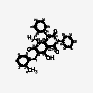 Cc1ccccc1Cc1c(O)c2c(=O)n(-c3ccccc3)c(=O)n(-c3ccccc3)c2n(C)c1=O